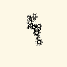 CN1CCC[C@@H]1C(=O)N1CCc2c(c3ccc(-n4ccc(OCc5ccccc5)cc4=O)cc3n2C)C1.Cl